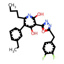 CCCCc1nc(O)c(-c2nnc(Cc3ccc(F)c(F)c3)o2)c(O)c1-c1cccc(CC)c1